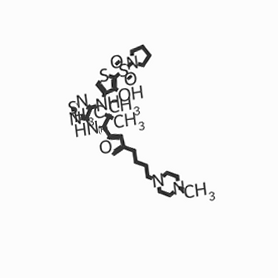 CN1CCN(CCCCc2coc([C@H](Nc3nsnc3Nc3csc(S(=O)(=O)N4CCCC4)c3O)C(C)(C)C)c2)CC1